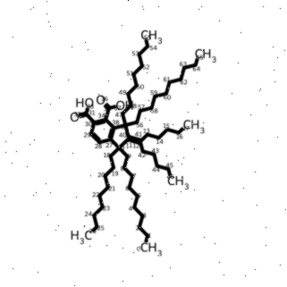 CCCCCCCCCCC(CCCCCCC)(CCCCCCCCC)c1ccc(C(=O)O)c(C(=O)O)c1C(CCCCCCC)(CCCCCCCCC)CCCCCCCCCC